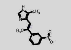 C/C(=C\c1nc[nH]c1C)c1cccc([N+](=O)[O-])c1